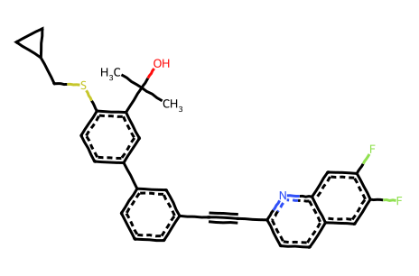 CC(C)(O)c1cc(-c2cccc(C#Cc3ccc4cc(F)c(F)cc4n3)c2)ccc1SCC1CC1